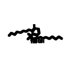 CCCCCCCCc1c(C)ccc(P(O)(O)(O)CCCCCCCC)c1C(C)(C)C